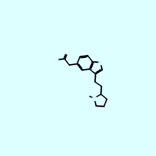 CN1CCCC1CCc1c[nH]c2ccc(CC(N)=O)cc12